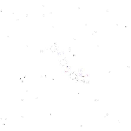 Cc1cccc(NCc2ccc(NC(=O)c3ccc4c(c3)NC(=O)[C@@H](C)S4)cc2)c1